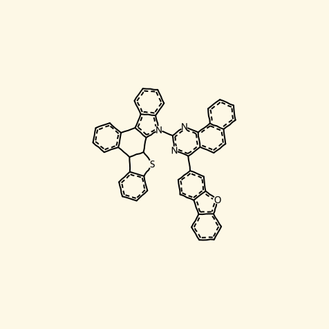 c1ccc2c(c1)SC1c3c(c4ccccc4n3-c3nc(-c4ccc5c(c4)oc4ccccc45)c4ccc5ccccc5c4n3)-c3ccccc3C21